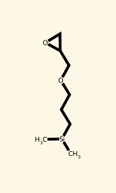 C[Si](C)CCCOCC1CO1